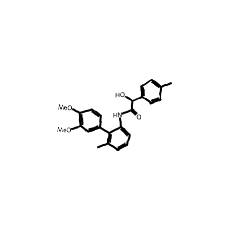 COc1ccc(-c2c(C)cccc2NC(=O)C(O)c2ccc(C)cc2)cc1OC